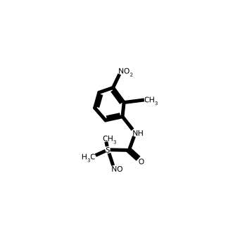 Cc1c(NC(=O)S(C)(C)N=O)cccc1[N+](=O)[O-]